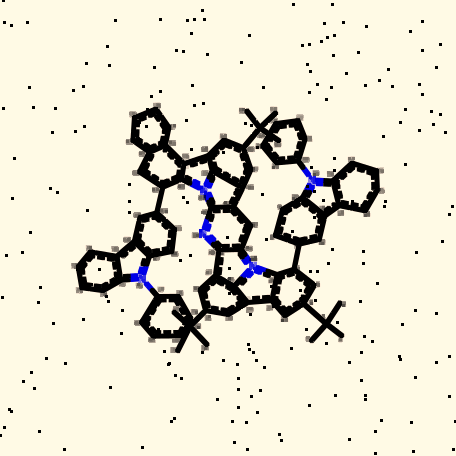 CC(C)(C)c1cc(-c2ccc3c(c2)c2ccccc2n3-c2ccccc2)c2c(c1)c1cc(C(C)(C)C)cc3c4nc5c(cc4n2c13)c1cc(C(C)(C)C)cc2c3c4ccccc4cc(-c4ccc6c(c4)c4ccccc4n6-c4ccccc4)c3n5c12